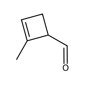 CC1=CCC1C=O